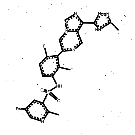 Cc1nnc(-c2ncn3cc(-c4c(F)ccc(NS(=O)(=O)c5cc(F)cnc5C)c4F)ncc23)[nH]1